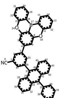 N#Cc1cc(-c2cc3c4c(c2)Oc2ccccc2B4c2ccccc2O3)cc(-c2c3ccccc3c(-c3ccccc3)c3ccccc23)c1